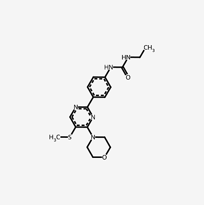 CCNC(=O)Nc1ccc(-c2ncc(SC)c(N3CCOCC3)n2)cc1